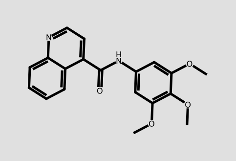 COc1cc(NC(=O)c2ccnc3ccccc23)cc(OC)c1OC